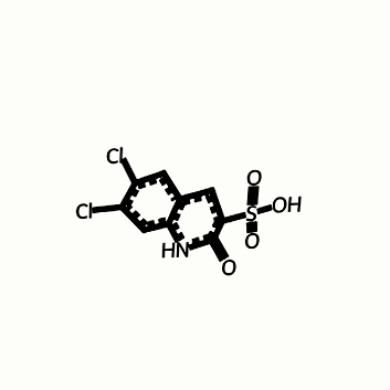 O=c1[nH]c2cc(Cl)c(Cl)cc2cc1S(=O)(=O)O